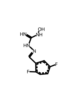 N=C(NO)N/N=C/c1cc(F)ccc1F